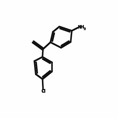 C=C(c1ccc(N)cc1)c1ccc(Cl)cc1